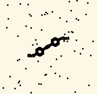 CCCCCc1ccc(C#Cc2ccc(NC)cc2)cc1